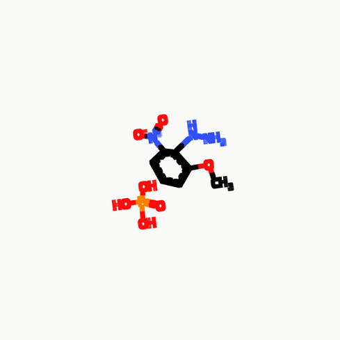 COc1cccc([N+](=O)[O-])c1NN.O=P(O)(O)O